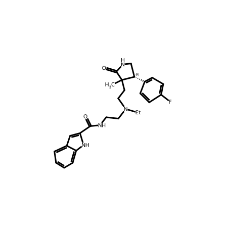 CCN(CCNC(=O)c1cc2ccccc2[nH]1)CCC1(C)C(=O)NC[C@@H]1c1ccc(F)cc1